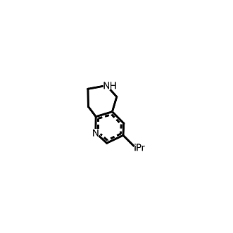 CC(C)c1cnc2c(c1)CNCC2